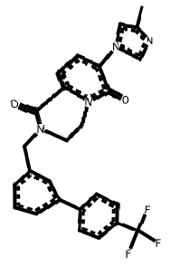 Cc1cn(-c2ccc3n(c2=O)CCN(Cc2cccc(-c4ccc(C(F)(F)F)cc4)c2)C3=O)cn1